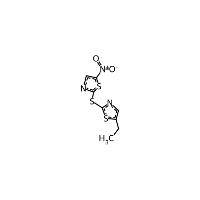 CCc1cnc(Sc2ncc([N+](=O)[O-])s2)s1